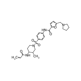 C=CC(=O)NC1CCN(S(=O)(=O)c2ccc(NC(=O)c3ccc(CN4CCCC4)o3)cc2)CC1C